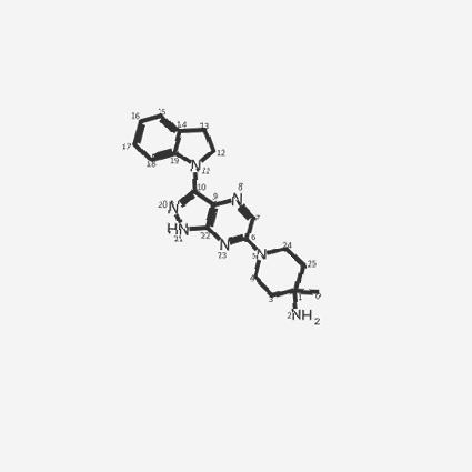 CC1(N)CCN(c2cnc3c(N4CCc5ccccc54)n[nH]c3n2)CC1